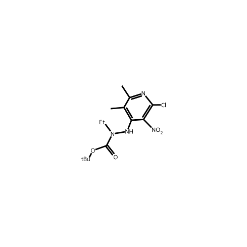 CCN(Nc1c(C)c(C)nc(Cl)c1[N+](=O)[O-])C(=O)OC(C)(C)C